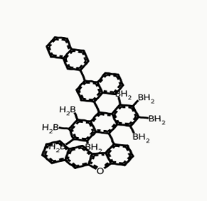 Bc1c(B)c(B)c2c(-c3cccc4oc5cc6ccccc6cc5c34)c3c(B)c(B)c(B)c(B)c3c(-c3ccc(-c4ccc5ccccc5c4)c4ccccc34)c2c1B